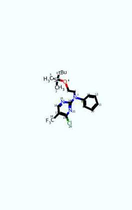 CC(C)(C)[Si](C)(C)OCCN(c1ccccc1)c1ncc(C(F)(F)F)c(Cl)n1